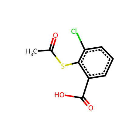 CC(=O)Sc1c(Cl)cccc1C(=O)O